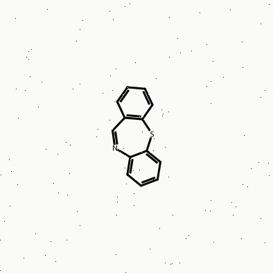 [c]1cccc2c1C=Nc1ccccc1S2